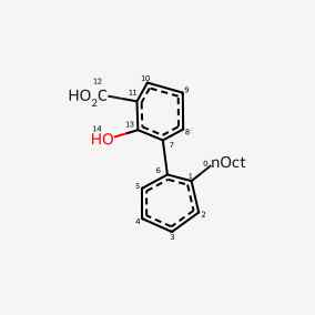 CCCCCCCCc1ccccc1-c1cccc(C(=O)O)c1O